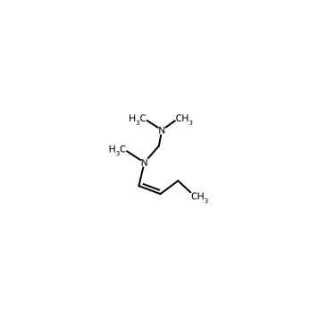 CC/C=C\N(C)CN(C)C